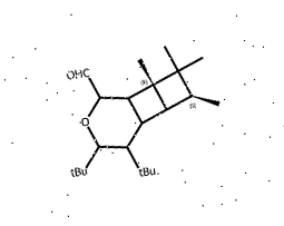 C[C@H]1C2C3C(C(C)(C)C)C(C(C)(C)C)OC(C=O)C3[C@]2(C)C1(C)C